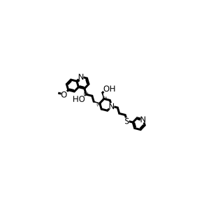 COc1ccc2nccc([C@@H](O)CC[C@@H]3CCN(CCCSc4cccnc4)C[C@@H]3CO)c2c1